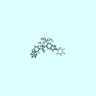 CC(C)(O)c1cc2nn(C3CCCCC3)cc2cc1NC(=O)c1cccc(S(F)(F)(F)(F)F)c1